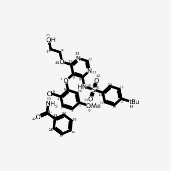 COc1ccc(Cl)c(Oc2c(NS(=O)(=O)c3ccc(C(C)(C)C)cc3)ncnc2OCCO)c1.NC(=O)c1ccccc1